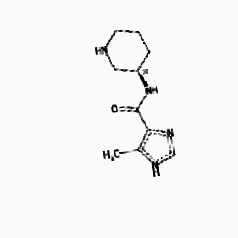 Cc1[nH]cnc1C(=O)N[C@@H]1CCCNC1